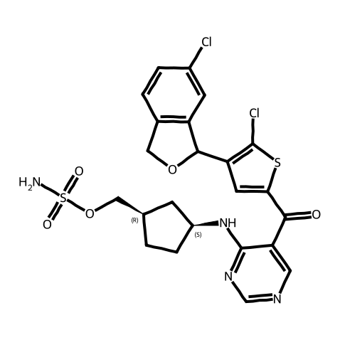 NS(=O)(=O)OC[C@@H]1CC[C@H](Nc2ncncc2C(=O)c2cc(C3OCc4ccc(Cl)cc43)c(Cl)s2)C1